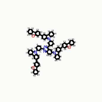 c1cc(-c2nc(-c3cccc(-n4c5ccccc5c5cc(-c6ccc7c(c6)oc6ccccc67)ccc54)c3)c3cc(-n4c5ccccc5c5cc(-c6ccc7c(c6)oc6ccccc67)ccc54)ccc3n2)cc(-n2c3ccccc3c3cc(-c4ccc5c(c4)oc4ccccc45)ccc32)c1